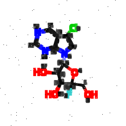 OC[C@@]1(F)O[C@@H](n2cc(Cl)c3cncnc32)[C@H](O)[C@@H]1O